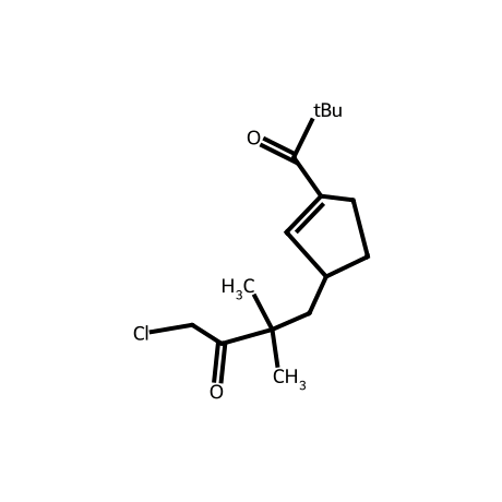 CC(C)(C)C(=O)C1=CC(CC(C)(C)C(=O)CCl)CC1